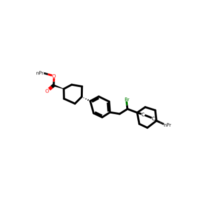 CCCOC(=O)[C@H]1CC[C@H](c2ccc(CC(Br)C34CCC(CCC)(CC3)CC4)cc2)CC1